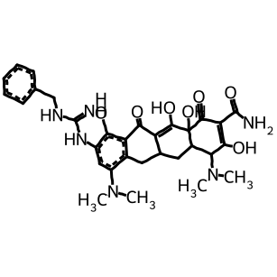 CN(C)c1cc(NC(=N)NCc2ccccc2)c(O)c2c1CC1CC3C(N(C)C)C(O)=C(C(N)=O)C(=O)C3(O)C(O)=C1C2=O